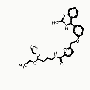 CCOC(CCCNC(=O)c1ccc(COc2cccc(C(NC(=O)O)c3ccccc3)c2)o1)OCC